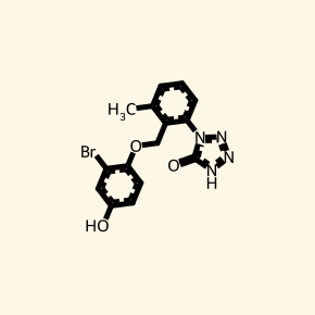 Cc1cccc(-n2nn[nH]c2=O)c1COc1ccc(O)cc1Br